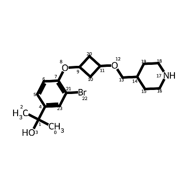 CC(C)(O)c1ccc(OC2CC(OCC3CCNCC3)C2)c(Br)c1